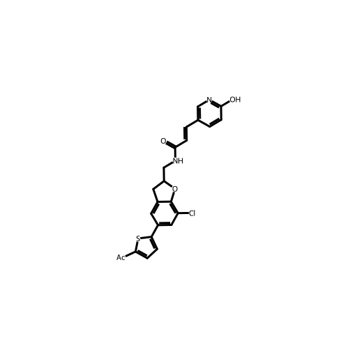 CC(=O)c1ccc(-c2cc(Cl)c3c(c2)CC(CNC(=O)C=Cc2ccc(O)nc2)O3)s1